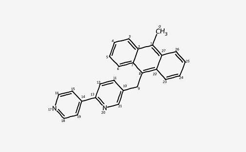 Cc1c2ccccc2c(Cc2ccc(-c3ccncc3)nc2)c2ccccc12